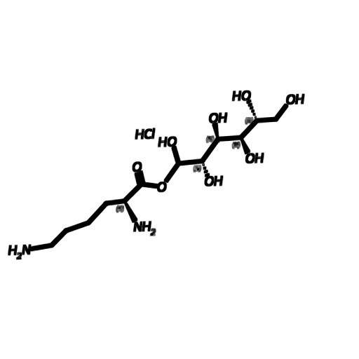 Cl.NCCCC[C@H](N)C(=O)OC(O)[C@@H](O)[C@@H](O)[C@H](O)[C@H](O)CO